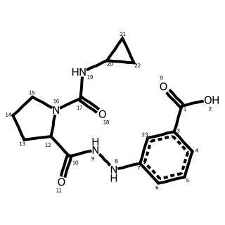 O=C(O)c1cccc(NNC(=O)C2CCCN2C(=O)NC2CC2)c1